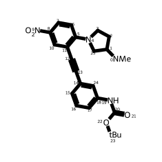 CNC1CCN(c2ccc([N+](=O)[O-])cc2C#Cc2cccc(NC(=O)OC(C)(C)C)c2)C1